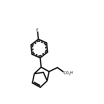 O=C(O)CC1C2C=CC(C2)C1c1ccc(F)cc1